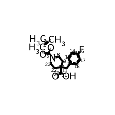 CC(C)(C)OC(=O)N1CCC(Cc2ccc(F)cc2)(C(=O)O)CC1